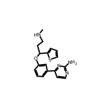 CNCCC(Oc1cccc(-c2ccnc(N)n2)c1)c1cccs1